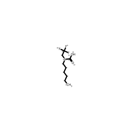 CCCCCCN(CC(F)(F)F)C(=O)O